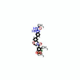 CC(=O)Nc1nc2ccc(-c3ccc4c(c3)CN(C(=O)c3ccc(S(C)(=O)=O)c(F)c3C)CCO4)cc2[nH]1